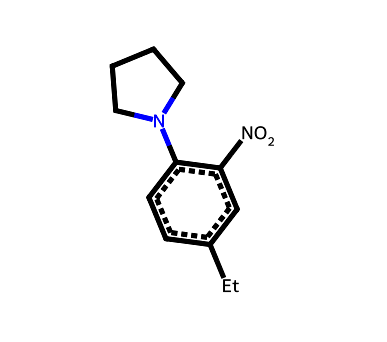 CCc1ccc(N2CCCC2)c([N+](=O)[O-])c1